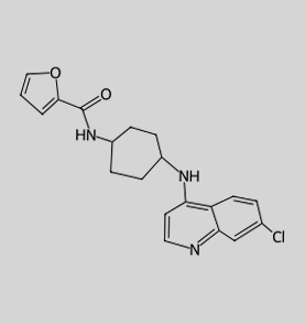 O=C(NC1CCC(Nc2ccnc3cc(Cl)ccc23)CC1)c1ccco1